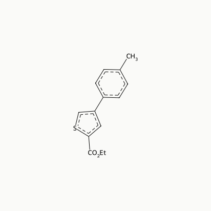 CCOC(=O)c1cc(-c2ccc(C)cc2)cs1